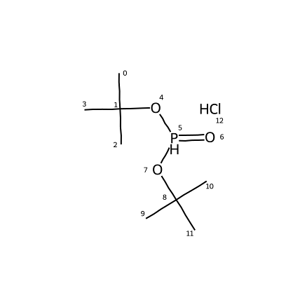 CC(C)(C)O[PH](=O)OC(C)(C)C.Cl